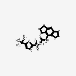 CC(C)(O)c1cnc(S(=O)(=O)NC(=O)Nc2c3c(cc4c2CCC4)CCC3)s1